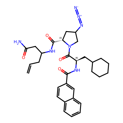 C=CCC(CC(N)=O)NC(=O)[C@@H]1CC(N=[N+]=[N-])CN1C(=O)[C@@H](CC1CCCCC1)NC(=O)c1ccc2ccccc2c1